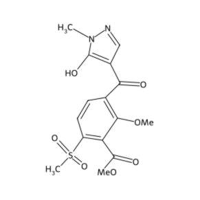 COC(=O)c1c(S(C)(=O)=O)ccc(C(=O)c2cnn(C)c2O)c1OC